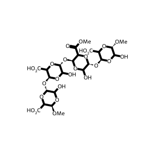 COC(=O)C1O[C@H](O[C@@H]2OC(O)[C@@H](OC)OC2C(=O)O)C(O)O[C@H]1O[C@H]1OC(C(=O)O)[C@H](O[C@H]2OC(C(=O)O)[C@H](OC)OC2O)OC1O